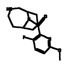 COc1ccc(F)c(C(=O)N2C3CCNCC2COC3)n1